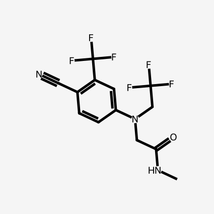 CNC(=O)CN(CC(F)(F)F)c1ccc(C#N)c(C(F)(F)F)c1